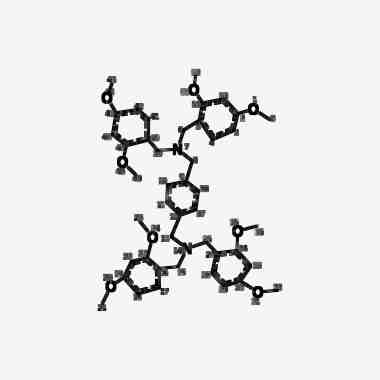 COc1ccc(CN(Cc2ccc(CN(Cc3ccc(OC)cc3OC)Cc3ccc(OC)cc3OC)cc2)Cc2ccc(OC)cc2OC)c(OC)c1